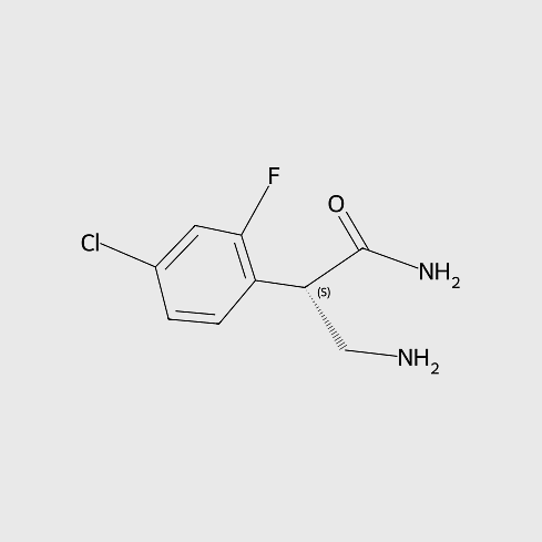 NC[C@@H](C(N)=O)c1ccc(Cl)cc1F